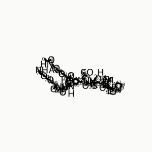 C=CC(=O)NCCOCCOCCC(=O)Oc1ccc(C[C@@H](CC(C)C(=O)O)NC(=O)c2csc([C@@H](C[C@H](C(C)C)N(C)C(=O)[C@@H](NC(=O)[C@H]3CCCCN3C)C(C)C)OC(C)=O)n2)cc1NC(=O)CNC(=O)C(C)NC(=O)CCOCCOCCNC(C)=O